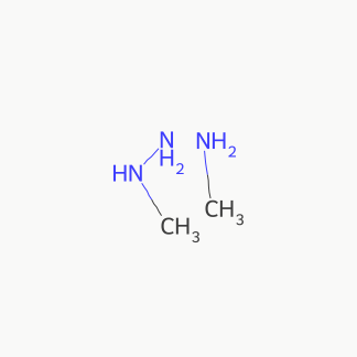 CN.CNN